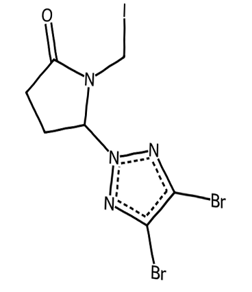 O=C1CCC(n2nc(Br)c(Br)n2)N1CI